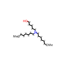 COCCCCCCN(CCCCCO)CCCCCCOC